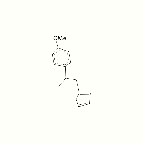 COc1ccc(C(C)CC2=CC=CC2)cc1